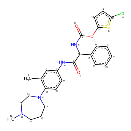 Cc1cc(NC(=O)C(NC(=O)Oc2ccc(Cl)s2)c2ccccc2)ccc1N1CCCN(C)CC1